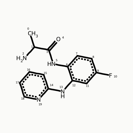 CC(N)C(=O)Nc1ccc(F)cc1Nc1ccccn1